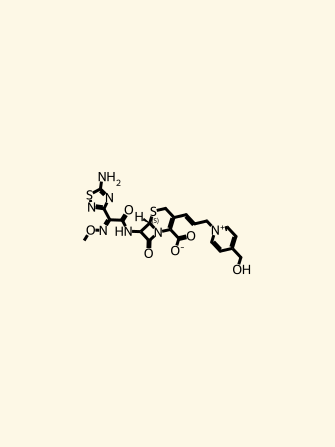 CON=C(C(=O)NC1C(=O)N2C(C(=O)[O-])=C(C=CC[n+]3ccc(CO)cc3)CS[C@@H]12)c1nsc(N)n1